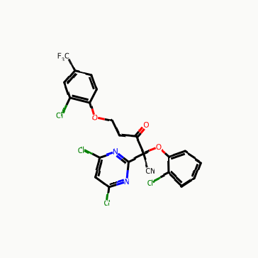 N#CC(Oc1ccccc1Cl)(C(=O)CCOc1ccc(C(F)(F)F)cc1Cl)c1nc(Cl)cc(Cl)n1